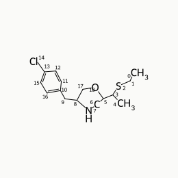 CCSC(C)C1CNC(Cc2ccc(Cl)cc2)CO1